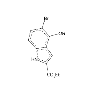 CCOC(=O)c1cc2c(O)c(Br)ccc2[nH]1